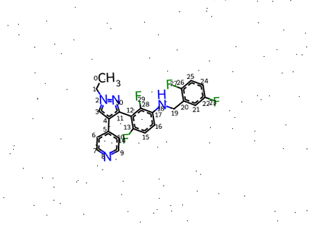 CCn1cc(-c2ccncc2)c(-c2c(F)ccc(NCc3cc(F)ccc3F)c2F)n1